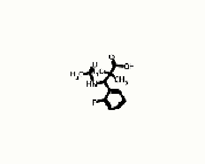 CC(=O)NC(c1ccccc1F)C(C)(C)C(=O)O